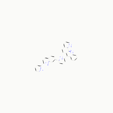 c1ccc(-c2ccc3ccc(-c4cccc(-c5c6ccccc6nc6c5ccc5cccnc56)n4)cc3n2)nc1